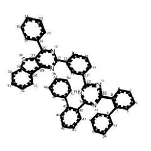 c1ccc(-c2ccccc2-c2nc(-c3cccc(-c4nc(-c5ccccc5)c5sc6ccccc6c5n4)c3)nc(-c3ccccc3-c3ccccc3)n2)cc1